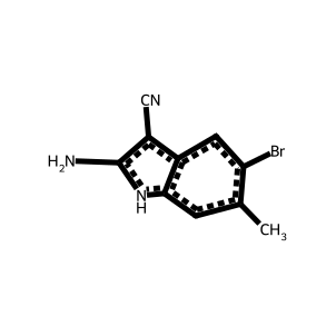 Cc1cc2[nH]c(N)c(C#N)c2cc1Br